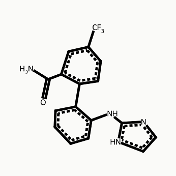 NC(=O)c1cc(C(F)(F)F)ccc1-c1ccccc1Nc1ncc[nH]1